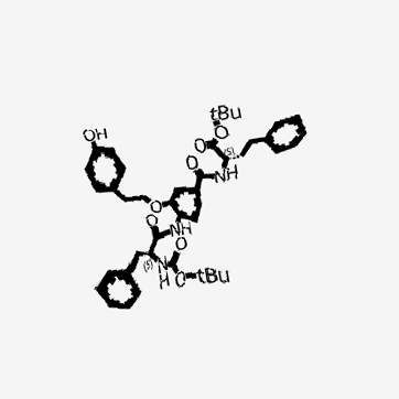 CC(C)(C)OC(=O)N[C@@H](Cc1ccccc1)C(=O)Nc1ccc(C(=O)N[C@@H](CCc2ccccc2)C(=O)OC(C)(C)C)cc1OCCc1ccc(O)cc1